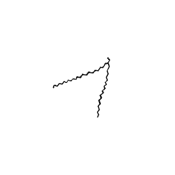 C=CC(CCCCCCCCCCCCCCCCCCCC)CCCCCCCCCCCCCCCCCCCCCC